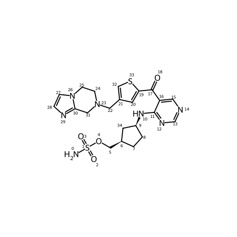 NS(=O)(=O)OC[C@@H]1CC[C@H](Nc2ncncc2C(=O)c2cc(CN3CCn4ccnc4C3)cs2)C1